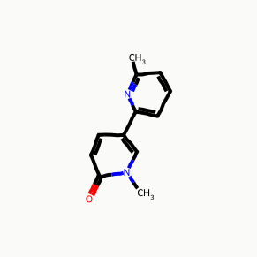 Cc1cccc(-c2ccc(=O)n(C)c2)n1